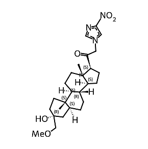 COC[C@@]1(O)CC[C@@]2(C)[C@@H](CC[C@@H]3[C@@H]2CC[C@]2(C)[C@@H](C(=O)Cn4cnc([N+](=O)[O-])c4)CC[C@@H]32)C1